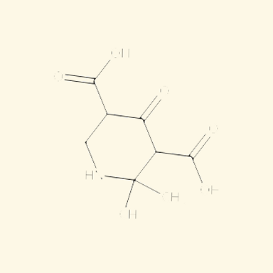 CC1(C)NCC(C(=O)O)C(=O)C1C(=O)O